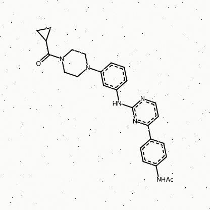 CC(=O)Nc1ccc(-c2ccnc(Nc3cccc(N4CCN(C(=O)C5CC5)CC4)c3)n2)cc1